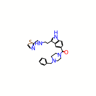 O=C(c1ccc2[nH]cc(CCNCc3nccs3)c2c1)N1CCN(Cc2ccccc2)CC1